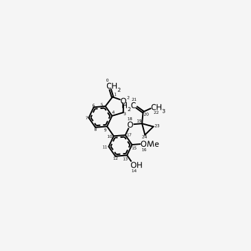 C=C1OCc2c1cccc2-c1ccc(O)c(OC)c1OC1(C(=C)C)CC1